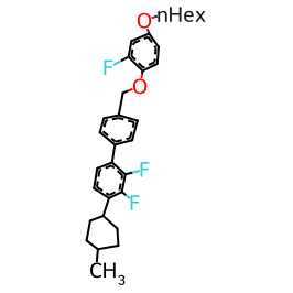 CCCCCCOc1ccc(OCc2ccc(-c3ccc(C4CCC(C)CC4)c(F)c3F)cc2)c(F)c1